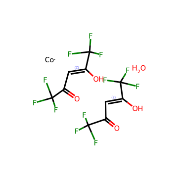 O.O=C(/C=C(\O)C(F)(F)F)C(F)(F)F.O=C(/C=C(\O)C(F)(F)F)C(F)(F)F.[Co]